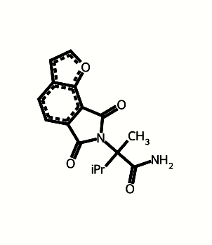 CC(C)C(C)(C(N)=O)N1C(=O)c2ccc3ccoc3c2C1=O